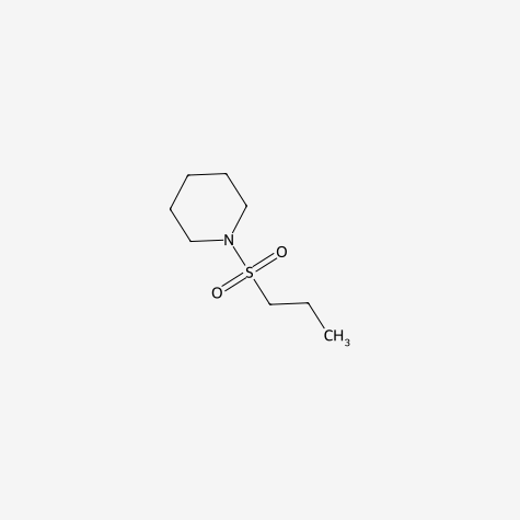 CCCS(=O)(=O)N1CCCCC1